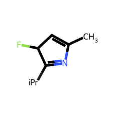 CC1=CC(F)C(C(C)C)=N1